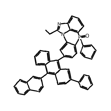 CCc1nc2cccc3c2n1-c1cc(-c2c4ccccc4c(-c4ccc5ccccc5c4)c4ccc(-c5ccccc5)cc24)ccc1P3(=O)c1ccccc1